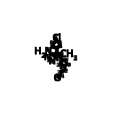 Cc1c(-c2ccc(Cl)cc2)c2c(N)ncnc2n1[C@@H]1CCN(C=CC=O)C1